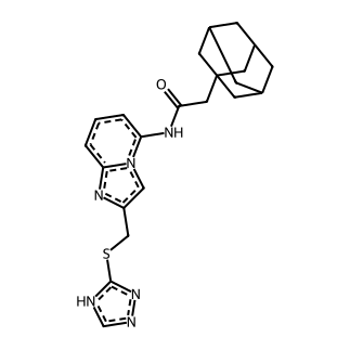 O=C(CC12CC3CC(CC(C3)C1)C2)Nc1cccc2nc(CSc3nnc[nH]3)cn12